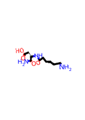 NCCCCCC(=O)N[C@@H](CC(=O)O)C(N)=O